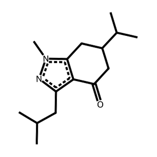 CC(C)Cc1nn(C)c2c1C(=O)CC(C(C)C)C2